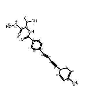 C[C@@H](O)C(NC(=O)c1ccc(C#CC#CC2C=CC(N)=CC2)cc1)C(=O)NO